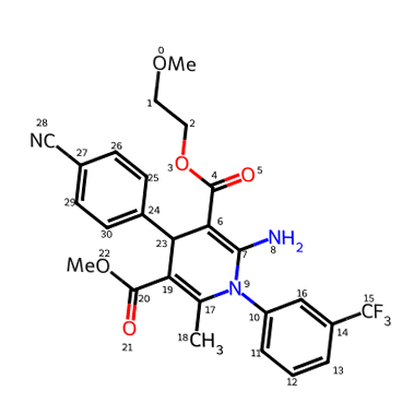 COCCOC(=O)C1=C(N)N(c2cccc(C(F)(F)F)c2)C(C)=C(C(=O)OC)C1c1ccc(C#N)cc1